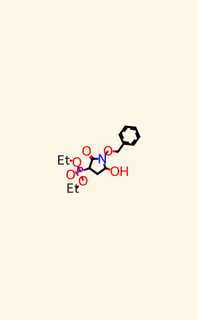 CCOP(=O)(OCC)C1CC(O)N(OCc2ccccc2)C1=O